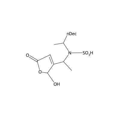 CCCCCCCCCCC(C)N(C(C)C1=CC(=O)OC1O)S(=O)(=O)O